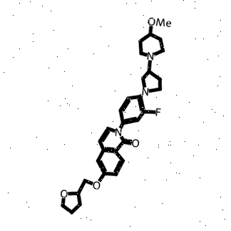 COC1CCN(C2CCN(c3ccc(-n4ccc5cc(OCC6CCCO6)ccc5c4=O)cc3F)C2)CC1